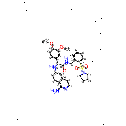 CCOc1cc(C(Nc2ccc3c(N)nccc3c2)C(=O)NCc2ccccc2S(=O)(=O)N2CCCC2)ccc1OC(C)C